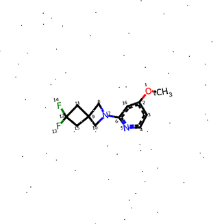 COc1ccnc(N2CC3(C2)CC(F)(F)C3)c1